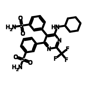 NS(=O)(=O)c1cccc(-c2nc(C(F)(F)F)nc(NC3CCCCC3)c2-c2cccc(S(N)(=O)=O)c2)c1